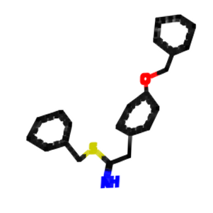 N=C(Cc1ccc(OCc2ccccc2)cc1)SCc1ccccc1